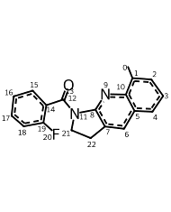 Cc1cccc2cc3c(nc12)N(C(=O)c1ccccc1F)CC3